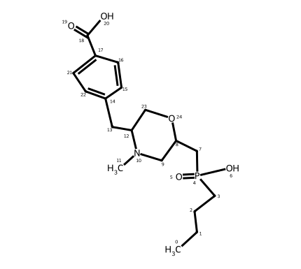 CCCCP(=O)(O)CC1CN(C)C(Cc2ccc(C(=O)O)cc2)CO1